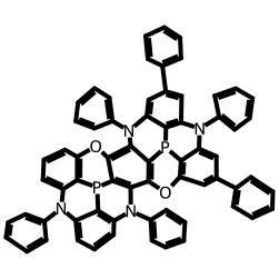 c1ccc(-c2cc3oc4c5c6c(oc7cccc8c7p6c6c(cccc6n5-c5ccccc5)n8-c5ccccc5)c5c4p4c3c(c2)n(-c2ccccc2)c2cc(-c3ccccc3)cc(c24)n5-c2ccccc2)cc1